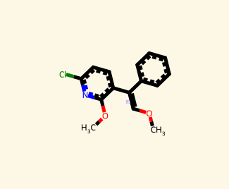 CO/C=C(\c1ccccc1)c1ccc(Cl)nc1OC